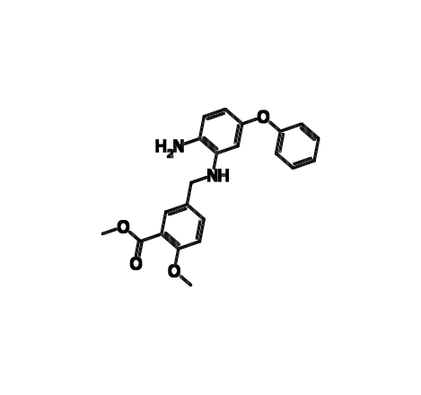 COC(=O)c1cc(CNc2cc(Oc3ccccc3)ccc2N)ccc1OC